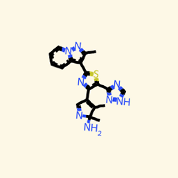 CC1=C(c2nc(-c3c(C)nn4ccccc34)sc2-c2nc[nH]n2)C=NC1(C)N